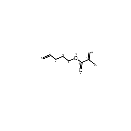 C=CCCCOC(=O)C(=C)C